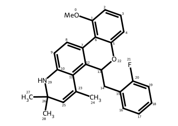 COc1cccc2c1-c1ccc3c(c1C(Cc1ccccc1F)O2)C(C)=CC(C)(C)N3